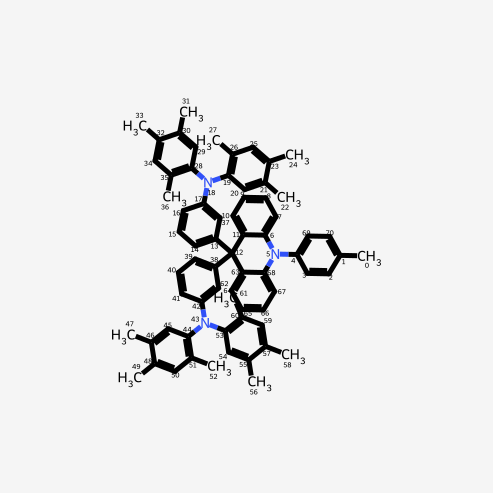 Cc1ccc(N2c3ccccc3C(c3cccc(N(c4cc(C)c(C)cc4C)c4cc(C)c(C)cc4C)c3)(c3cccc(N(c4cc(C)c(C)cc4C)c4cc(C)c(C)cc4C)c3)c3ccccc32)cc1